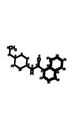 CCC1CCC(NC(=O)c2ccnc3cccnc23)CC1